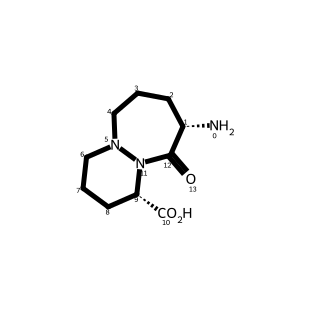 N[C@H]1CCCN2CCC[C@@H](C(=O)O)N2C1=O